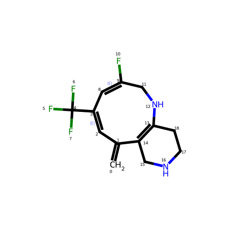 C=C1/C=C(C(F)(F)F)\C=C(\F)CNC2=C1CNCC2